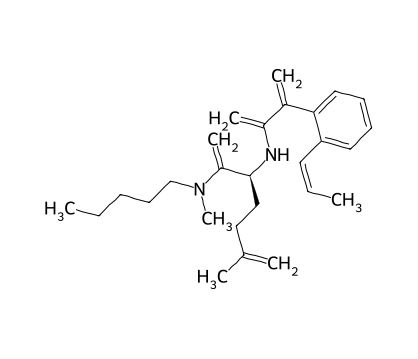 C=C(C)CC[C@H](NC(=C)C(=C)c1ccccc1/C=C\C)C(=C)N(C)CCCCC